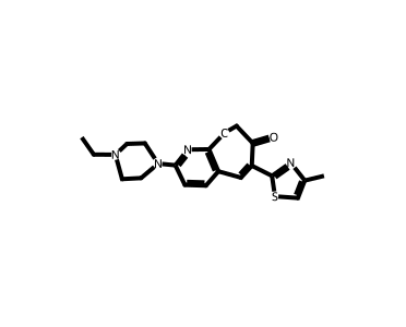 CCN1CCN(c2ccc3c(n2)CCC(=O)C(c2nc(C)cs2)=C3)CC1